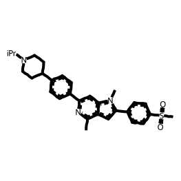 Cc1nc(-c2ccc(C3CCN(C(C)C)CC3)cc2)cc2c1cc(-c1ccc(S(C)(=O)=O)cc1)n2C